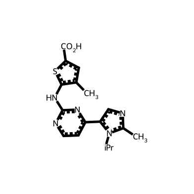 Cc1cc(C(=O)O)sc1Nc1nccc(-c2cnc(C)n2C(C)C)n1